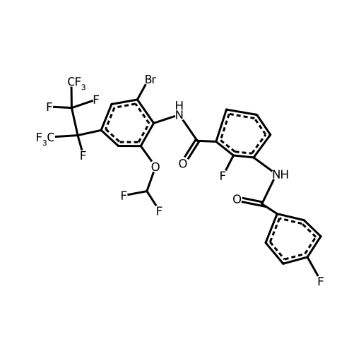 O=C(Nc1cccc(C(=O)Nc2c(Br)cc(C(F)(C(F)(F)F)C(F)(F)C(F)(F)F)cc2OC(F)F)c1F)c1ccc(F)cc1